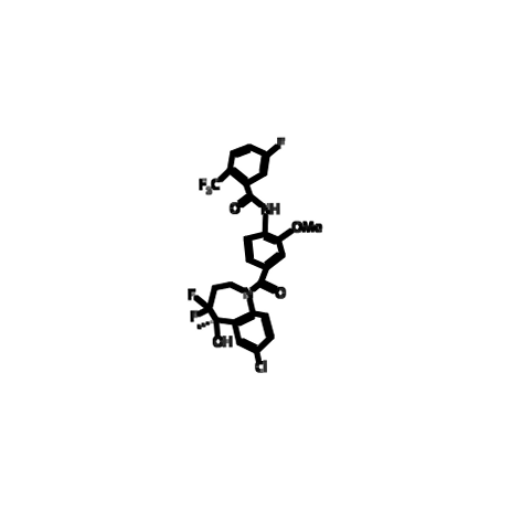 COc1cc(C(=O)N2CCC(F)(F)[C@](C)(O)c3cc(Cl)ccc32)ccc1NC(=O)c1cc(F)ccc1C(F)(F)F